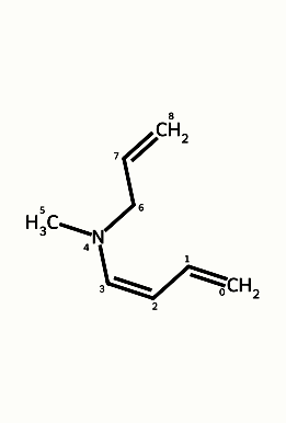 C=C/C=C\N(C)CC=C